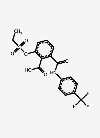 CCS(=O)(=O)Oc1cccc(C(=O)Nc2ccc(C(F)(F)F)cc2)c1C(=O)O